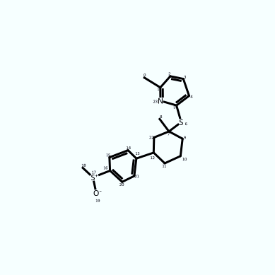 Cc1cccc(SC2(C)CCCC(c3ccc([S+](C)[O-])cc3)C2)n1